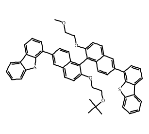 COCCOc1ccc2cc(-c3cccc4c3sc3ccccc34)ccc2c1-c1c(OCCOC(C)(C)C)ccc2cc(-c3cccc4c3sc3ccccc34)ccc12